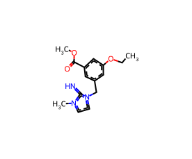 CCOc1cc(Cn2ccn(C)c2=N)cc(C(=O)OC)c1